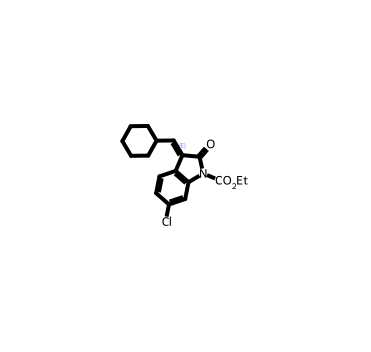 CCOC(=O)N1C(=O)/C(=C/C2CCCCC2)c2ccc(Cl)cc21